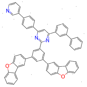 c1ccc(-c2cccc(-c3cc(-c4ccc(-c5cccnc5)cc4)nc(-c4cc(-c5ccc6oc7ccccc7c6c5)cc(-c5ccc6oc7ccccc7c6c5)c4)n3)c2)cc1